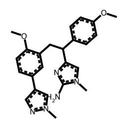 COc1ccc(C(Cc2cc(-c3cnn(C)c3)ccc2OC)c2cn(C)c(N)n2)cc1